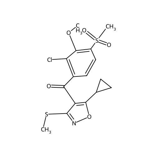 COc1c(S(C)(=O)=O)ccc(C(=O)c2c(SC)noc2C2CC2)c1Cl